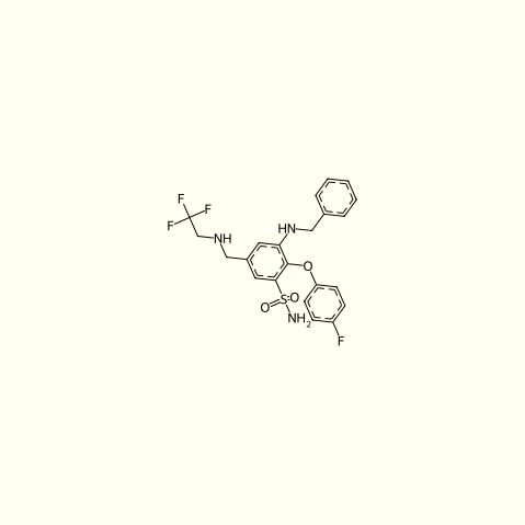 NS(=O)(=O)c1cc(CNCC(F)(F)F)cc(NCc2ccccc2)c1Oc1ccc(F)cc1